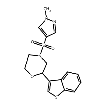 Cn1cc(S(=O)(=O)N2CCOC(c3csc4ccccc34)C2)cn1